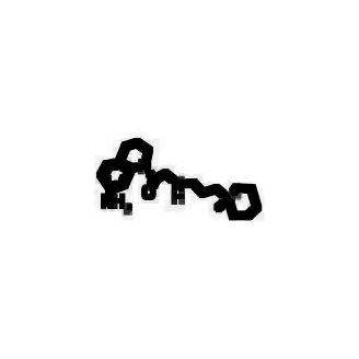 C[N+]1(CCCNCC(=O)N2CCCc3ccc(N)cc32)CCCCC1